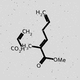 C=CC(=O)O.C=CCC=C(C)C(=O)OC